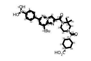 CC(C)(C)c1cc(-c2ccc(N(O)O)cc2)nn2cc(C(=O)N3CCN(C(=O)[C@H]4CC[C@@H](C(=O)O)CC4)CC3(C)C)nc12